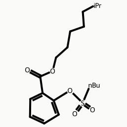 CCCCS(=O)(=O)Oc1ccccc1C(=O)OCCCCCC(C)C